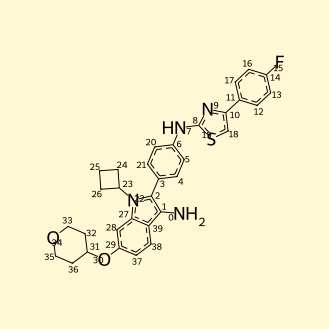 Nc1c(-c2ccc(Nc3nc(-c4ccc(F)cc4)cs3)cc2)n(C2CCC2)c2cc(OC3CCOCC3)ccc12